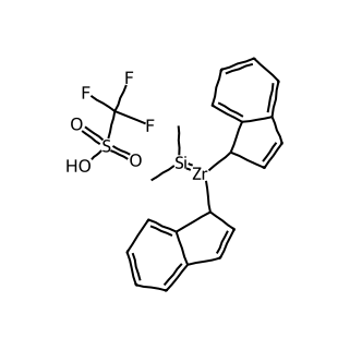 C[Si](C)=[Zr]([CH]1C=Cc2ccccc21)[CH]1C=Cc2ccccc21.O=S(=O)(O)C(F)(F)F